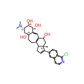 CN(C)[C@H]1C[C@]2(O)CCC3=C(C=C2[C@@H](O)[C@@H]1O)C(O)C[C@]1(C)C(c2ccc4c(Cl)nccc4c2)=CCC31